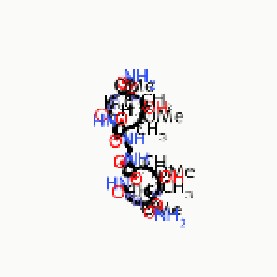 CO[C@H]1C[C@H](C)CC2=C(NCCCNC3=C4C[C@@H](C)C[C@H](OC)C(O)[C@@H](C)/C=C(\C)[C@H](OC(N)=O)[C@@H](OC)/C=C\C=C(/C)C(=O)NC(=CC3=O)C4=O)C(=O)C=C(NC(=O)/C(C)=C/C=C\[C@H](OC)[C@@H](OC(N)=O)/C(C)=C/[C@H](C)C1O)C2=O